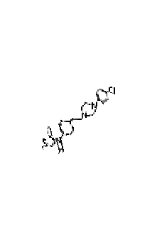 CSCC(=O)NC1CCC(CCN2CCN(c3ccc(Cl)cc3)CC2)CC1